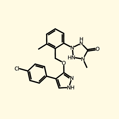 Cc1cccc(N2NC(=O)N(C)N2)c1COc1n[nH]cc1-c1ccc(Cl)cc1